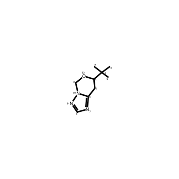 CC(C)(C)C1Cc2ncnn2CO1